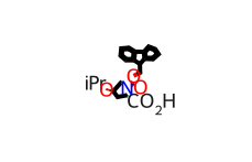 CC(C)O[C@@H]1C[C@@H](C(=O)O)N(C(=O)OCC2c3ccccc3-c3ccccc32)C1